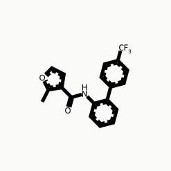 Cc1occc1C(=O)Nc1ccccc1-c1ccc(C(F)(F)F)cc1